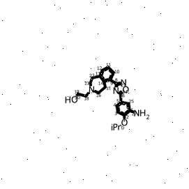 CC(C)Oc1ccc(-c2nc(-c3cccc4c3CCN(CCO)CC4)no2)cc1N